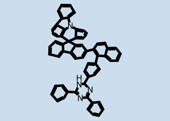 c1ccc(C2=NC(c3ccc(-c4c(-c5ccc6c(c5)C5(c7ccccc7-6)c6ccccc6-n6c7ccccc7c7cccc5c76)ccc5ccccc45)cc3)NC(c3ccccc3)=N2)cc1